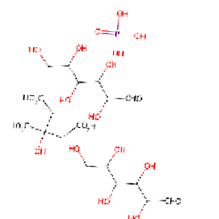 O=C(O)CC(O)(CC(=O)O)C(=O)O.O=CC(O)C(O)C(O)C(O)CO.O=CC(O)C(O)C(O)C(O)CO.O=P(O)(O)O